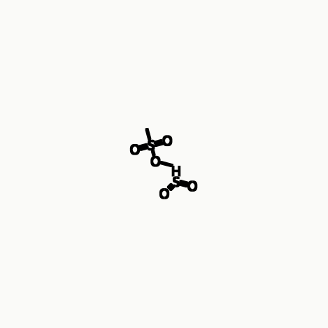 CS(=O)(=O)OC[SH](=O)=O